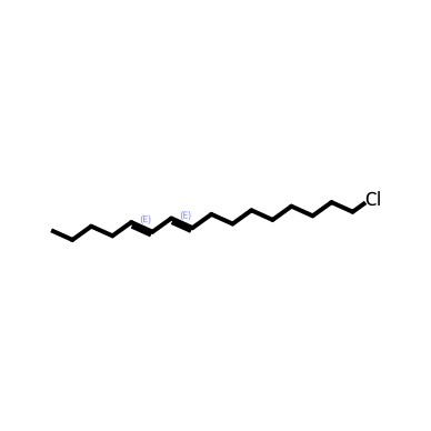 CCCC/C=C/C=C/CCCCCCCCCl